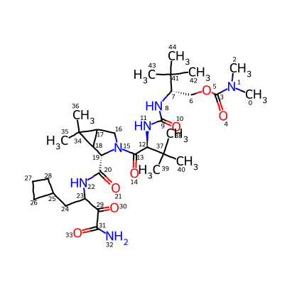 CN(C)C(=O)OC[C@H](NC(=O)N[C@H](C(=O)N1CC2C([C@H]1C(=O)NC(CC1CCC1)C(=O)C(N)=O)C2(C)C)C(C)(C)C)C(C)(C)C